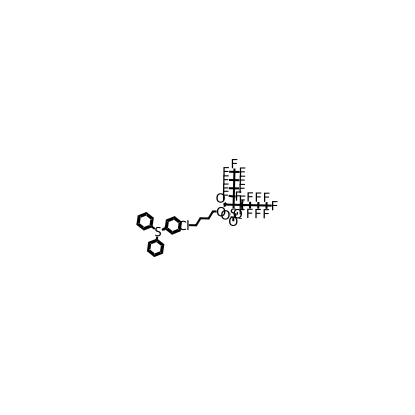 O=C(OCCCCCl)C(C(F)(F)C(F)(F)C(F)(F)C(F)(F)F)(C(F)(F)C(F)(F)C(F)(F)C(F)(F)F)S(=O)(=O)[O-].c1ccc([S+](c2ccccc2)c2ccccc2)cc1